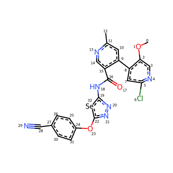 COc1cnc(Cl)cc1-c1cc(C)ncc1C(=O)Nc1nnc(Oc2ccc(C#N)cc2)[se]1